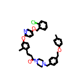 Cc1ccc(OCCc2ccc(CN3CCN(C(=O)C=Cc4ccc(Oc5ccc(OCc6ccccc6Cl)cn5)cc4C)CC3)cc2)cc1